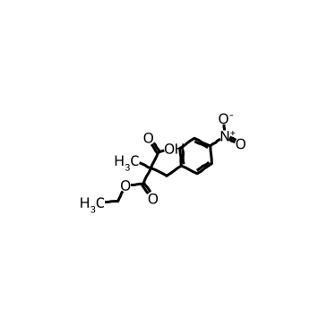 CCOC(=O)C(C)(Cc1ccc([N+](=O)[O-])cc1)C(=O)O